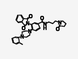 Cc1ccccc1N1CCN(c2ccc(C(=O)NCCCN3CCCC3=O)cc2N2C(=O)c3ccccc3C2=O)CC1